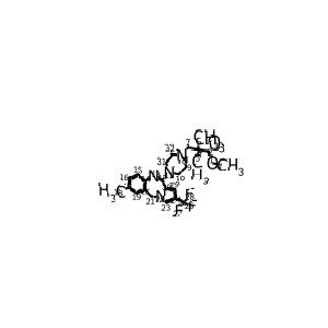 COC(=O)C(C)(C)CN1CCN(C2=Nc3ccc(C)cc3Cn3cc(C(F)(F)F)cc32)CC1